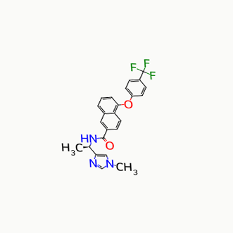 C[C@@H](NC(=O)c1ccc2c(Oc3ccc(C(F)(F)F)cc3)cccc2c1)c1cn(C)cn1